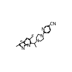 Cc1nc2nc(C(C)N3CCN(c4ccc(C#N)cn4)CC3)c(F)cc2s1